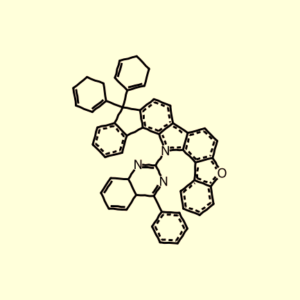 C1=CCCC(C2(C3=CCCC=C3)c3ccccc3-c3c2ccc2c4ccc5oc6ccccc6c5c4n(C4=NC5C=CC=CC5C(c5ccccc5)=N4)c32)=C1